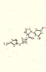 O=C(N1N=CCC1c1cc(F)cc(F)c1)C12CC(Cn3cc(C(F)(F)F)cn3)(C1)C2